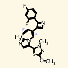 C/C=C\C(=C/n1cncc1C1SC(OC)=NN1C)C1=CN=C1c1ccc(F)cc1F